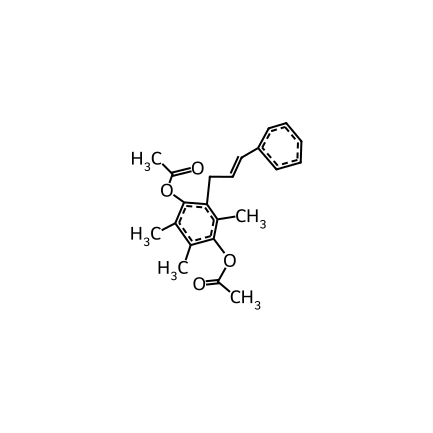 CC(=O)Oc1c(C)c(C)c(OC(C)=O)c(CC=Cc2ccccc2)c1C